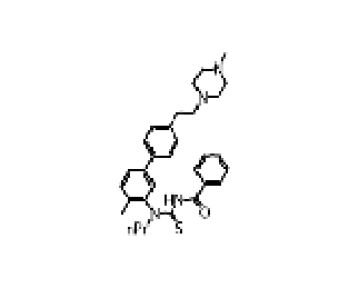 CCCN(C(=S)NC(=O)c1ccccc1)c1cc(-c2ccc(CCN3CCN(C)CC3)cc2)ccc1C